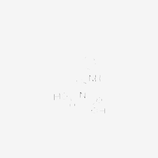 CC(C)c1ccc(NC(=O)CN(CC(=O)O)CC(=O)O)cc1